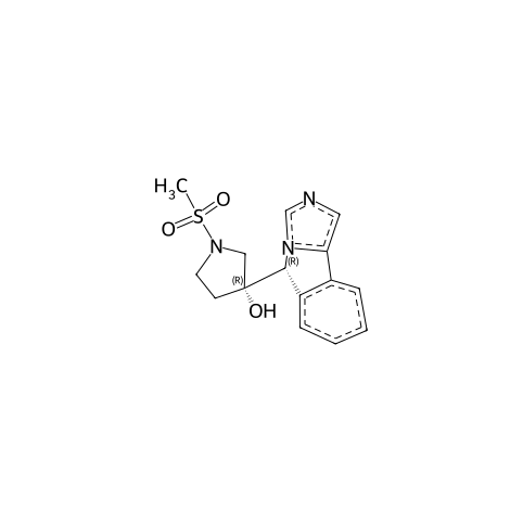 CS(=O)(=O)N1CC[C@](O)([C@H]2c3ccccc3-c3cncn32)C1